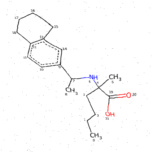 CCCCC(C)(NC(C)c1ccc2c(c1)CCCC2)C(=O)O